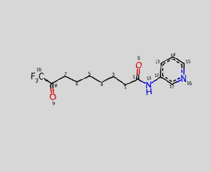 O=C(CCCCCCC(=O)C(F)(F)F)Nc1cccnc1